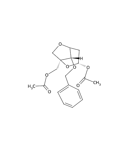 CC(=O)OC[C@@]12COC(C[C@H](OC(C)=O)O1)[C@@H]2OCc1ccccc1